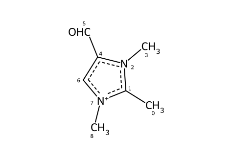 Cc1n(C)c(C=O)c[n+]1C